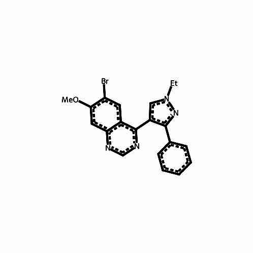 CCn1cc(-c2ncnc3cc(OC)c(Br)cc23)c(-c2ccccc2)n1